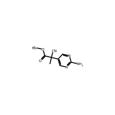 CC(C)(C)OC(=O)C(C)(C#N)c1cnc(N)nc1